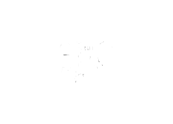 O=S(=O)(Nc1c(-c2ccccc2)noc1OS(=O)(=O)C(F)(F)F)c1ccccc1